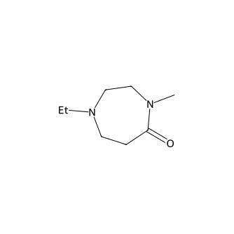 [CH2]CN1CCC(=O)N(C)CC1